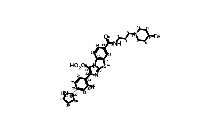 O=C(NCCCN1CCC(F)CC1)c1ccc2c(c1)sc1nc(-c3ccc([C@@H]4CCCN4)cc3F)c(C(=O)O)n12